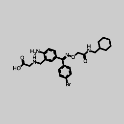 Nc1ccc(C(=NOCC(=O)NCC2CCCCC2)c2ccc(Br)cc2)cc1CNCC(=O)O